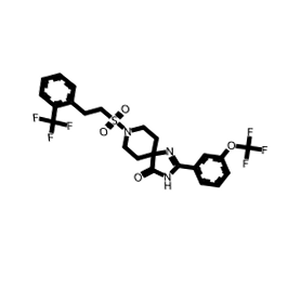 O=C1NC(c2cccc(OC(F)(F)F)c2)=NC12CCN(S(=O)(=O)CCc1ccccc1C(F)(F)F)CC2